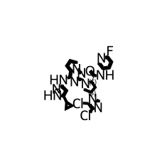 O=C(Nc1ccc(F)nc1)[C@@H]1C[C@H](n2cnc(Cl)c2Cl)CN1c1nc(Nc2cc(C3CC3)[nH]n2)c2cccn2n1